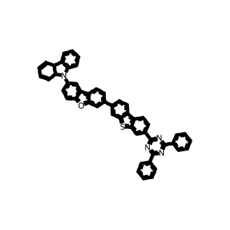 C1=CC2c3ccccc3N(c3ccc4oc5cc(-c6ccc7c(c6)sc6cc(-c8nc(-c9ccccc9)nc(-c9ccccc9)n8)ccc67)ccc5c4c3)C2C=C1